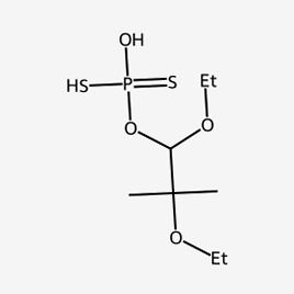 CCOC(OP(O)(=S)S)C(C)(C)OCC